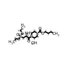 CCCCOC(=O)N1CCN(C(=O)[C@@H](N)CP(=O)(OCC)OCC)CC1.Cl